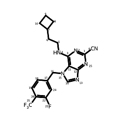 N#Cc1nc(NCCC2CCC2)c2c(ncn2Cc2ccc(C(F)(F)F)c(F)c2)n1